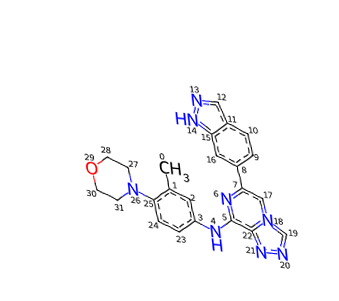 Cc1cc(Nc2nc(-c3ccc4cn[nH]c4c3)cn3cnnc23)ccc1N1CCOCC1